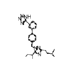 CCC(C)c1nc(CCC(C)C)nn1Cc1ccc(-c2cccc(-c3nnn[nH]3)c2)cc1